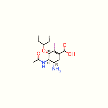 CCC(CC)O[C@H]1C(I)=C(C(=O)O)C[C@H](N)[C@H]1NC(C)=O